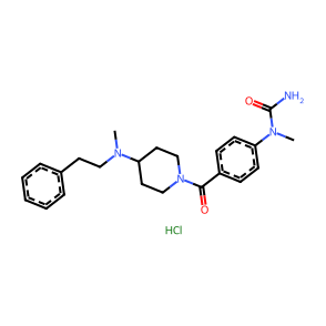 CN(C(N)=O)c1ccc(C(=O)N2CCC(N(C)CCc3ccccc3)CC2)cc1.Cl